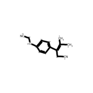 CC(C)=C(CC#N)c1ccc(OCC#N)cc1